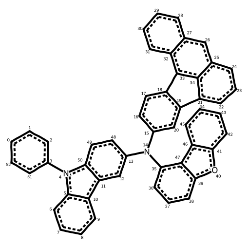 c1ccc(-n2c3ccccc3c3cc(N(c4ccc5c(c4)-c4cccc6cc7ccccc7c-5c46)c4cccc5oc6ccccc6c45)ccc32)cc1